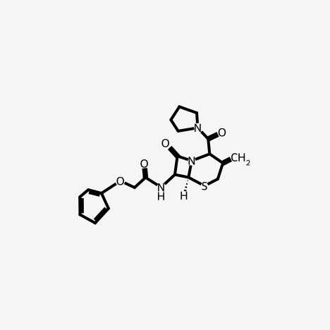 C=C1CS[C@H]2C(NC(=O)COc3ccccc3)C(=O)N2C1C(=O)N1CCCC1